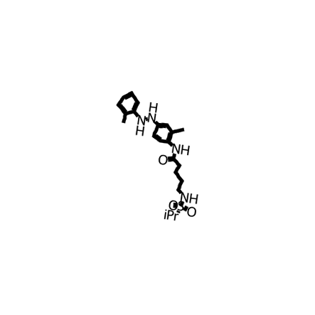 Cc1ccccc1NNc1ccc(NC(=O)CCCCNS(=O)(=O)C(C)C)c(C)c1